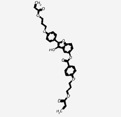 C=CC(=O)OCCCOc1ccc(C(=O)Oc2ccc3oc(-c4ccc(OCCCOC(=O)C=C)cc4)c(O)c3c2)cc1